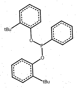 CC(C)(C)c1ccccc1OP(Oc1ccccc1C(C)(C)C)c1ccccc1